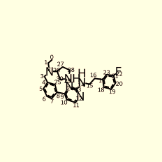 CCN(Cc1cccc(-c2ccnc(NCCc3cccc(F)c3)n2)c1)C1CCNC1